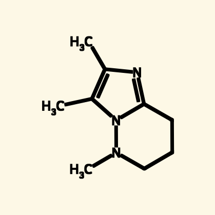 Cc1nc2n(c1C)N(C)CCC2